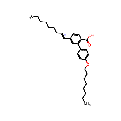 CCCCCCC/C=C/c1ccc(C(=O)O)c(-c2ccc(OCCCCCCCC)cc2)c1